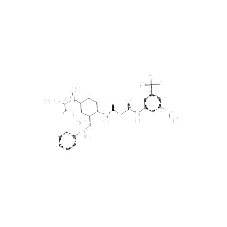 COc1cc(NC(=O)CC(=O)NC2CCC(N(C)C(C)C)CC2CS(=O)(=O)c2ccccc2)cc(C(F)(F)F)c1